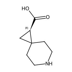 O=C(O)[C@@H]1CC12CCNCC2